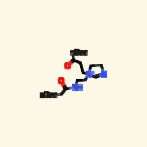 CCCCCCCCCCCC(=O)NCC[N+]1(CCC(=O)CCCCCCCCCC)C=NCC1